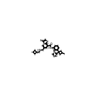 CC1CC(c2cccc(NC(=O)c3cc(CNCC4CCC4)cn4c(F)cnc34)c2)(c2nncn2C)C1